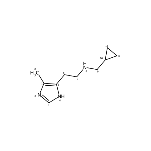 Cc1nc[nH]c1CCNCC1CC1